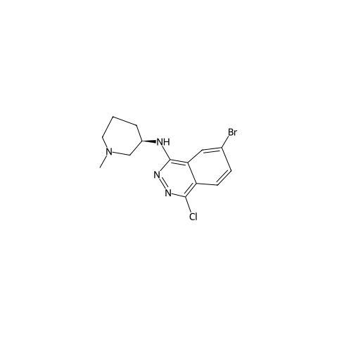 CN1CCC[C@@H](Nc2nnc(Cl)c3ccc(Br)cc23)C1